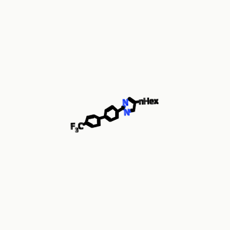 CCCCCCc1cnc(-c2ccc(-c3ccc(C(F)(F)F)cc3)cc2)nc1